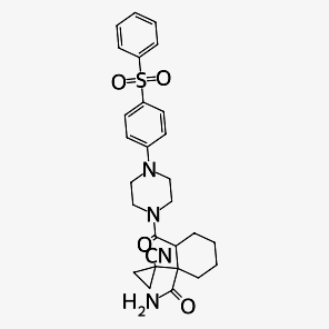 N#CC1(C2(C(N)=O)CCCCC2C(=O)N2CCN(c3ccc(S(=O)(=O)c4ccccc4)cc3)CC2)CC1